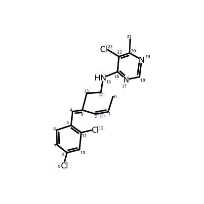 C/C=C\C(=Cc1ccc(Cl)cc1Cl)CCNc1ncnc(C)c1Cl